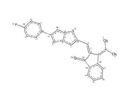 N#CC(C#N)=C1/C(=C/c2cc3oc(-c4ccc(F)cc4)cc3s2)C(=O)c2ccccc21